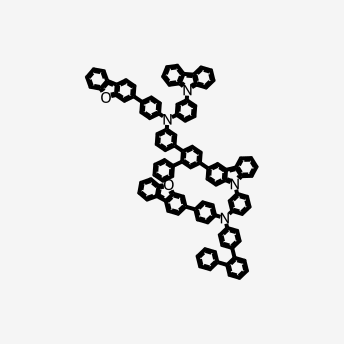 c1ccc(-c2ccccc2-c2ccc(N(c3ccc(-c4ccc5c(c4)oc4ccccc45)cc3)c3cccc(-n4c5ccccc5c5cc(-c6ccc(-c7cccc(N(c8ccc(-c9ccc%10c(c9)oc9ccccc9%10)cc8)c8cccc(-n9c%10ccccc%10c%10ccccc%109)c8)c7)c(-c7ccccc7)c6)ccc54)c3)cc2)cc1